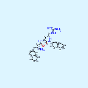 N=C(N)NCCC[C@H](NC(=O)C[C@@H](N)Cc1ccc2ccccc2c1)C(=O)Nc1ccc2ccccc2c1